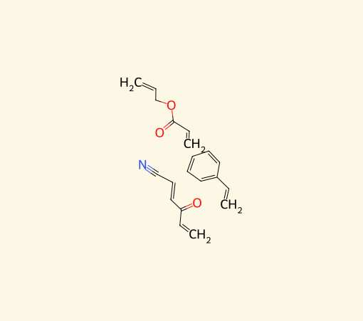 C=CC(=O)C=CC#N.C=CCOC(=O)C=C.C=Cc1ccccc1